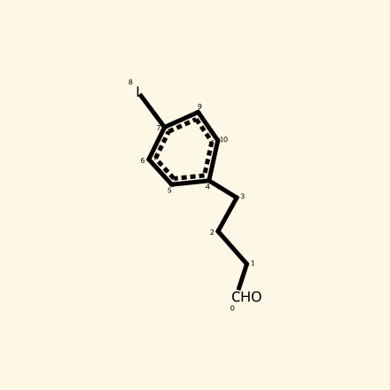 O=CCCCc1ccc(I)cc1